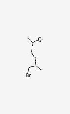 CC([O])CCC(C)CBr